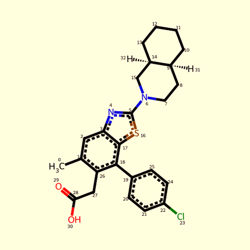 Cc1cc2nc(N3CC[C@@H]4CCCC[C@@H]4C3)sc2c(-c2ccc(Cl)cc2)c1CC(=O)O